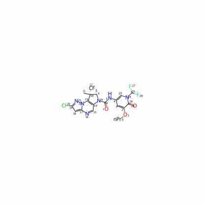 CCCOc1cc(NC(=O)N2C[C@@](C)(C(F)(F)F)c3c2cnc2cc(Cl)nn32)cn(C(F)F)c1=O